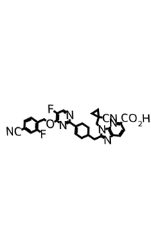 N#Cc1ccc(COc2nc(C3=CCC(Cc4nc5ccc(C(=O)O)nc5n4CC4(C#N)CC4)CC3)ncc2F)c(F)c1